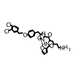 NCCCCC(NC(=O)c1ccco1)C(=O)c1noc(Cc2ccc(OCCc3ccc(Cl)c(Cl)c3)cc2)n1